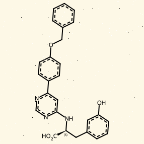 O=C(O)[C@H](Cc1cccc(O)c1)Nc1cc(-c2ccc(OCc3ccccc3)cc2)ncn1